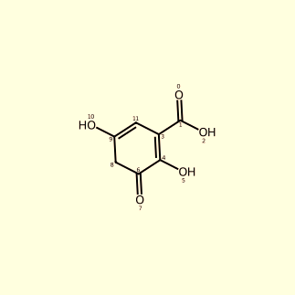 O=C(O)C1=C(O)C(=O)CC(O)=C1